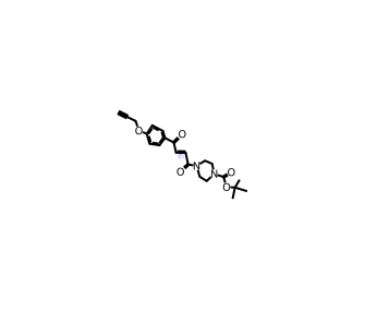 C#CCOc1ccc(C(=O)/C=C/C(=O)N2CCN(C(=O)OC(C)(C)C)CC2)cc1